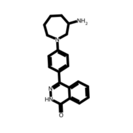 NC1CCCCN(c2ccc(-c3n[nH]c(=O)c4ccccc34)cc2)C1